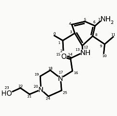 CC(C)c1ccc(N)c(C(C)C)c1NC(=O)CN1CCN(CCO)CC1